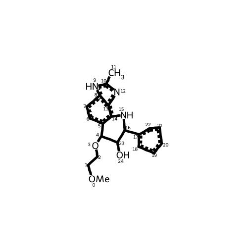 COCCOC1c2ccc3[nH]c(C)nc3c2NC(c2ccccc2)C1O